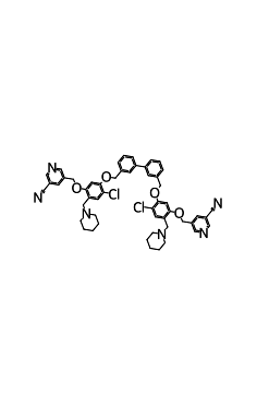 N#Cc1cncc(COc2cc(OCc3cccc(-c4cccc(COc5cc(OCc6cncc(C#N)c6)c(CN6CCCCC6)cc5Cl)c4)c3)c(Cl)cc2CN2CCCCC2)c1